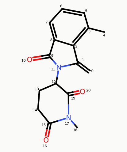 C=C1c2c(C)cccc2C(=O)N1C1CCC(=O)N(C)C1=O